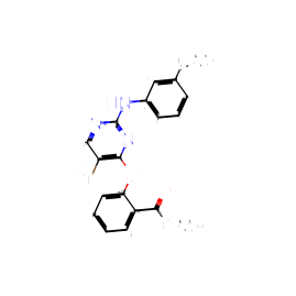 COC(=O)c1ccccc1Oc1nc(Nc2cccc(OC)c2)ncc1Br